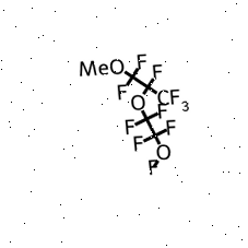 COC(F)(F)C(F)(OC(F)(F)C(F)(F)OF)C(F)(F)F